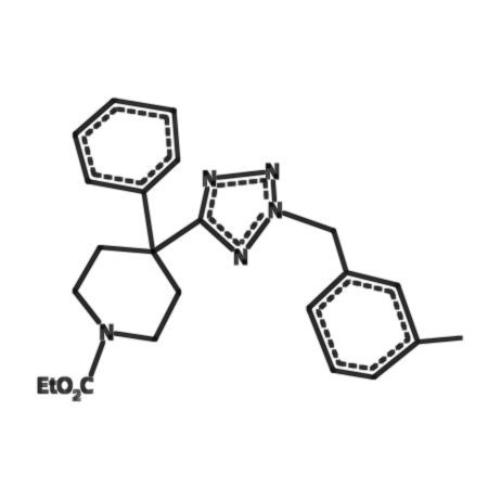 CCOC(=O)N1CCC(c2ccccc2)(c2nnn(Cc3cccc(C)c3)n2)CC1